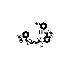 C[N+](C)(C/C=C/C(=O)Nc1ccc2ncnc(Nc3cccc(Br)c3)c2c1)Cc1ccccc1[N+](=O)[O-]